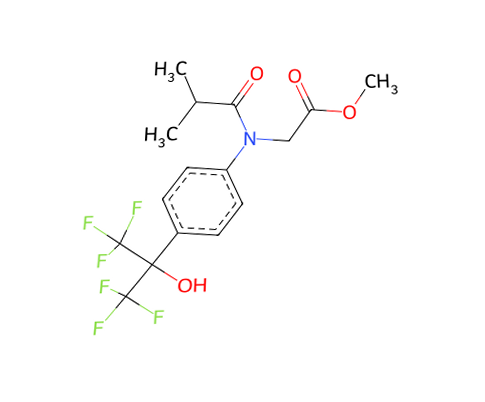 COC(=O)CN(C(=O)C(C)C)c1ccc(C(O)(C(F)(F)F)C(F)(F)F)cc1